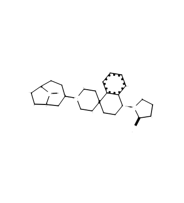 CCOC(=O)N1C2CCC(N3CCC4(CC[C@H](N5CCCC5=O)c5ccccc54)CC3)CC1CC2